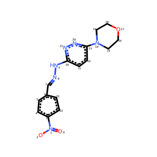 O=[N+]([O-])c1ccc(C=NNc2ccc(N3CCOCC3)nn2)cc1